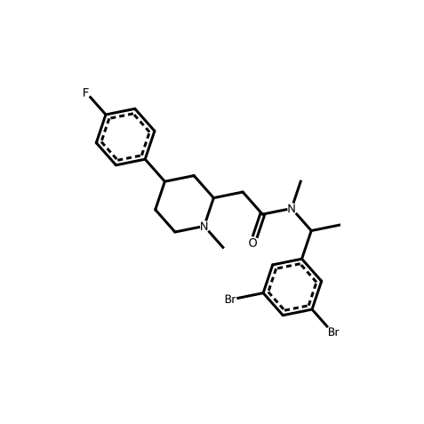 CC(c1cc(Br)cc(Br)c1)N(C)C(=O)CC1CC(c2ccc(F)cc2)CCN1C